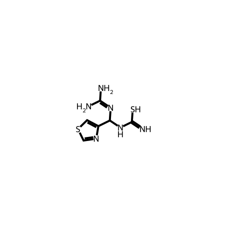 N=C(S)NC(N=C(N)N)c1cscn1